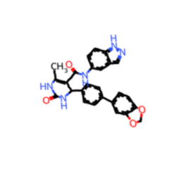 CC1=C(C(=O)Nc2ccc3[nH]ncc3c2)C(c2ccc(-c3ccc4c(c3)OCO4)cc2)NC(=O)N1